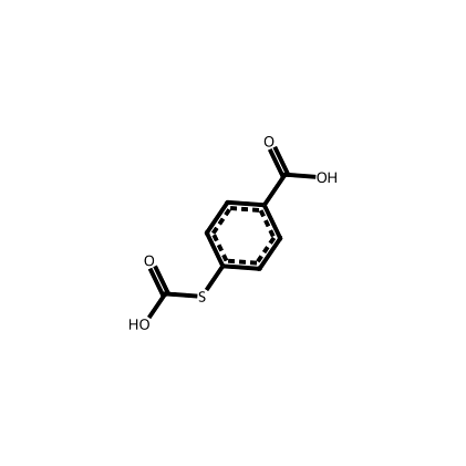 O=C(O)Sc1ccc(C(=O)O)cc1